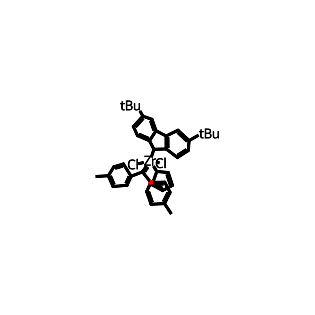 Cc1ccc([C](c2ccc(C)cc2)=[Zr]([Cl])([Cl])([CH]2C=CC=C2)[CH]2c3ccc(C(C)(C)C)cc3-c3cc(C(C)(C)C)ccc32)cc1